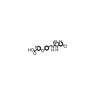 O=C(NCc1ccc(Oc2ccnc(C(=O)O)c2)cc1)Nc1cc(Cl)cnc1Cl